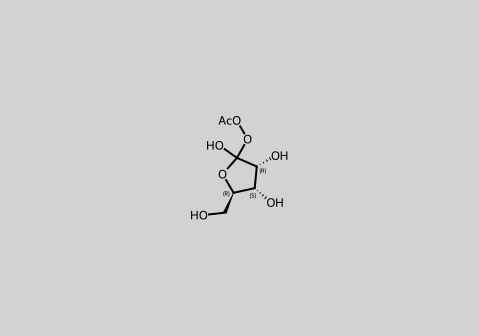 CC(=O)OOC1(O)O[C@H](CO)[C@@H](O)[C@H]1O